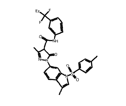 CCC(F)(F)c1cccc(NC(=O)C2C(=O)N(c3ccc4c(C)cn(S(=O)(=O)c5ccc(C)cc5)c4c3)N=C2C)c1